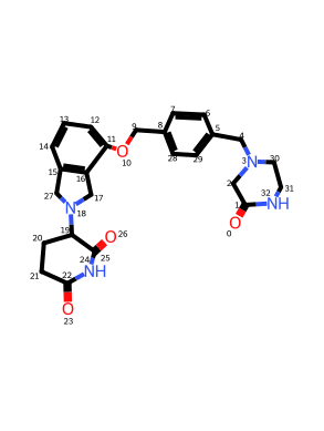 O=C1CN(Cc2ccc(COc3cccc4c3CN(C3CCC(=O)NC3=O)C4)cc2)CCN1